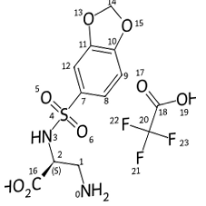 NC[C@H](NS(=O)(=O)c1ccc2c(c1)OCO2)C(=O)O.O=C(O)C(F)(F)F